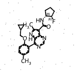 Cc1ccc(OCC2CC2)c(-c2ncnc3c(C(=O)N[C@@H]4CCC[C@H]4F)c(C)[nH]c23)c1